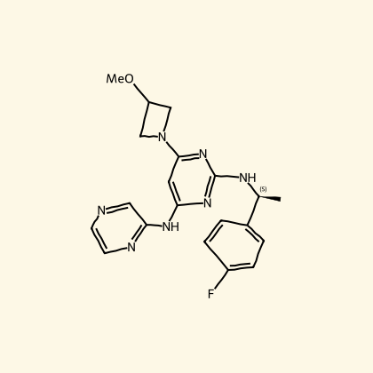 COC1CN(c2cc(Nc3cnccn3)nc(N[C@@H](C)c3ccc(F)cc3)n2)C1